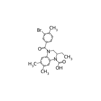 CCC1CN(C(=O)c2ccc(C)c(Br)c2)c2cc(C)c(C)cc2N1C(=O)O